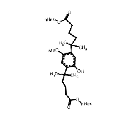 CCCCCCOC(=O)CCCC(C)(C)c1cc(OC)c(C(C)(C)CCCC(=O)OCCCCCC)cc1O